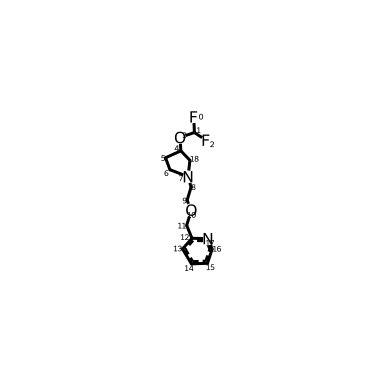 FC(F)OC1CCN(CCOCc2ccccn2)C1